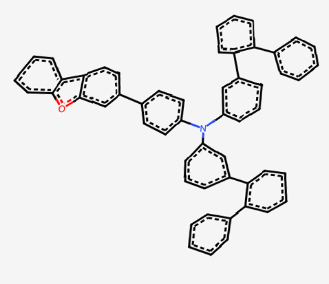 c1ccc(-c2ccccc2-c2cccc(N(c3ccc(-c4ccc5c(c4)oc4ccccc45)cc3)c3cccc(-c4ccccc4-c4ccccc4)c3)c2)cc1